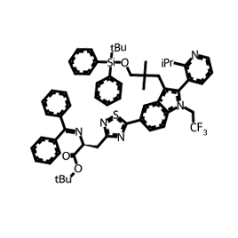 CC(C)c1ncccc1-c1c(CC(C)(C)CO[Si](c2ccccc2)(c2ccccc2)C(C)(C)C)c2cc(-c3nc(C[C@H](N=C(c4ccccc4)c4ccccc4)C(=O)OC(C)(C)C)ns3)ccc2n1CC(F)(F)F